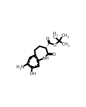 CC(C)(C)OC(=O)[C@H]1CCc2cc(N)c(O)cc2NC1=O